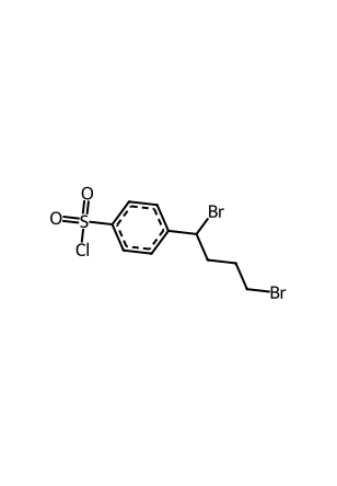 O=S(=O)(Cl)c1ccc(C(Br)CCCBr)cc1